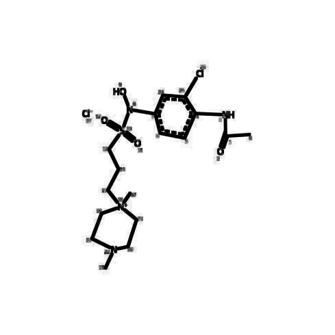 CC(=O)Nc1ccc(N(O)S(=O)(=O)CCC[N+]2(C)CCN(C)CC2)cc1Cl.[Cl-]